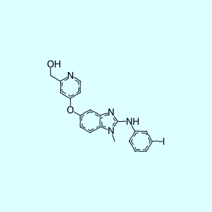 Cn1c(Nc2cccc(I)c2)nc2cc(Oc3ccnc(CO)c3)ccc21